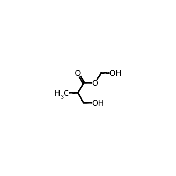 CC(CO)C(=O)OCO